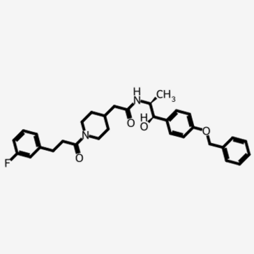 C[C@H](NC(=O)CC1CCN(C(=O)CCc2cccc(F)c2)CC1)[C@H](O)c1ccc(OCc2ccccc2)cc1